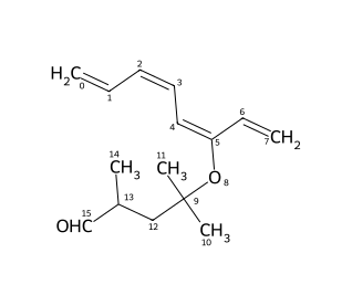 C=C/C=C\C=C(/C=C)OC(C)(C)CC(C)C=O